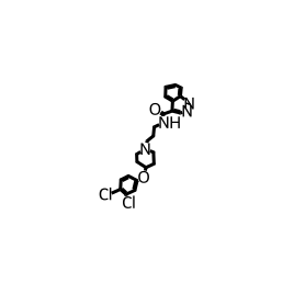 O=C(NCCCN1CCC(Oc2ccc(Cl)c(Cl)c2)CC1)c1cnnc2ccccc12